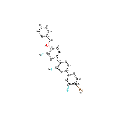 Fc1cc(-c2ccc(-c3ccc(OCc4ccccc4)c(F)c3)c(F)c2)ccc1Br